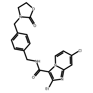 CCc1nc2cc(Cl)ccn2c1C(=O)NCc1ccc(CN2CCOC2=O)cc1